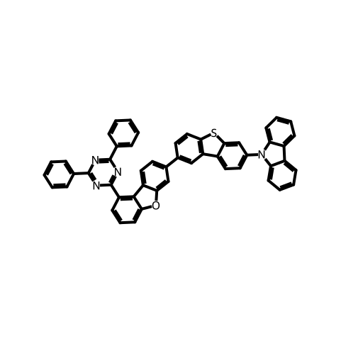 c1ccc(-c2nc(-c3ccccc3)nc(-c3cccc4oc5cc(-c6ccc7sc8cc(-n9c%10ccccc%10c%10ccccc%109)ccc8c7c6)ccc5c34)n2)cc1